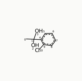 CC(O)(O)c1ccccc1Cl